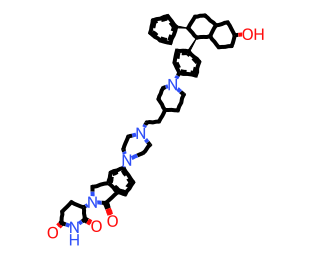 O=C1CCC(N2Cc3cc(N4CCN(CCC5CCN(c6ccc([C@@H]7C8CCC(O)CC8CC[C@@H]7c7ccccc7)cc6)CC5)CC4)ccc3C2=O)C(=O)N1